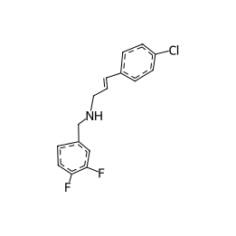 Fc1ccc(CNC/C=C/c2ccc(Cl)cc2)cc1F